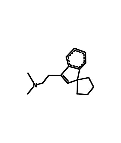 CN(C)CCC1=CC2(CCCC2)c2ccccc21